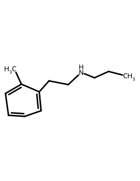 CCCNCCc1ccccc1C